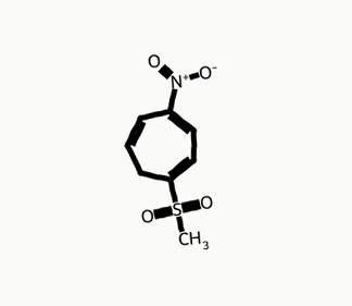 CS(=O)(=O)C1=CC=C([N+](=O)[O-])C=CC1